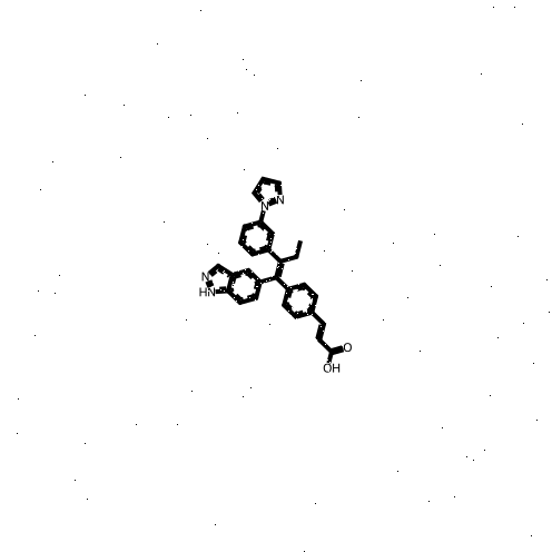 CCC(=C(c1ccc(C=CC(=O)O)cc1)c1ccc2[nH]ncc2c1)c1cccc(-n2cccn2)c1